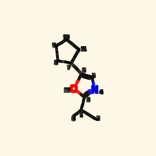 CC(C)c1ncc(C2CCCC2)o1